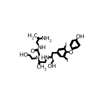 C=C(N)CNC(=O)CN(CCO)C(=C)CN[C@H](CO)Cc1cc(I)c(Oc2ccc(O)cc2)c(I)c1